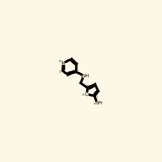 CCCc1ccc(CNc2ccncc2)o1